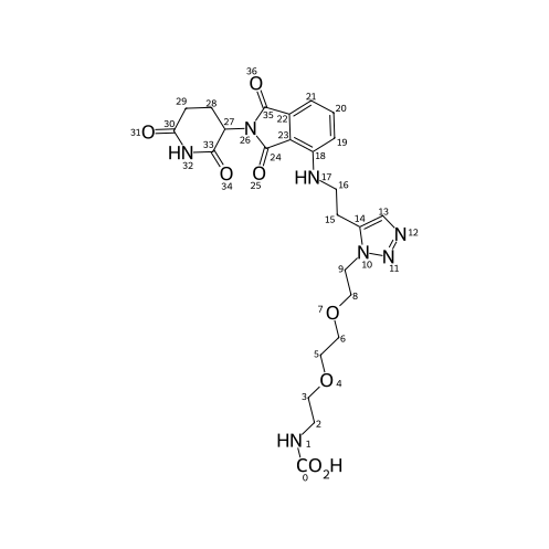 O=C(O)NCCOCCOCCn1nncc1CCNc1cccc2c1C(=O)N(C1CCC(=O)NC1=O)C2=O